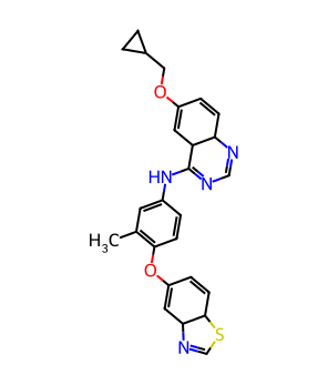 Cc1cc(NC2=NC=NC3C=CC(OCC4CC4)=CC23)ccc1OC1=CC2N=CSC2C=C1